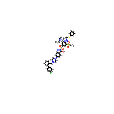 CN(C)CC[C@H](CSc1ccccc1)Nc1ccc(S(=O)(=O)NC(=O)c2ccc(N3CCN(CC4=C(c5ccc(Cl)cc5)CCCC4)CC3)cc2)cc1S(=O)(=O)C(F)(F)F